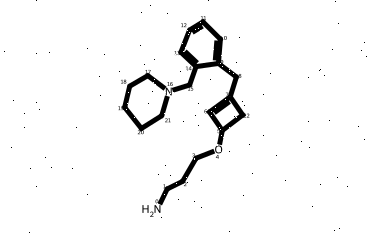 NCCCOC1C=C(Cc2ccccc2CN2CCCCC2)C1